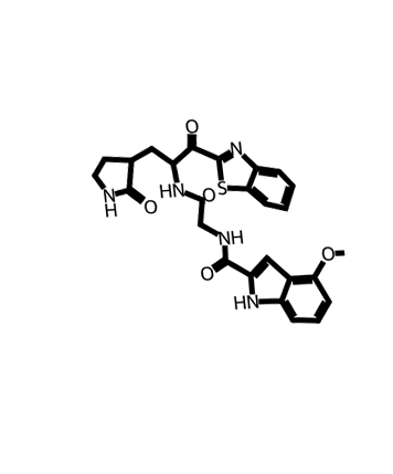 COc1cccc2[nH]c(C(=O)NCC(=O)NC(CC3CCNC3=O)C(=O)c3nc4ccccc4s3)cc12